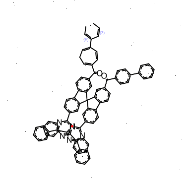 C/C=C\C(=C/C)C1=CCC=C(C(=O)c2ccc3c(c2)C2(c4cc(C(=O)c5ccc(-c6ccccc6)cc5)ccc4-c4ccc(-c5nc(-c6ccccc6)nc(-c6ccccc6)n5)cc42)c2cc(-c4nc(-c5ccccc5)nc(-c5ccccc5)n4)ccc2-3)C=C1